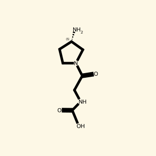 N[C@H]1CCN(C(=O)CNC(=O)O)C1